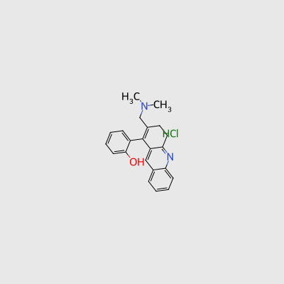 CN(C)CC1=C(c2ccccc2O)c2cc3ccccc3nc2CC1.Cl